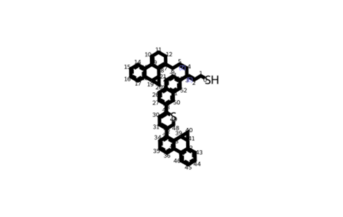 SC/C=C(\C=C/CC1=C2C(=CCC1)c1ccccc1C1CC21)c1ccc2ccc(C3=CC=C(c4cccc5c4C4CC4c4ccccc4-5)CS3)cc2c1